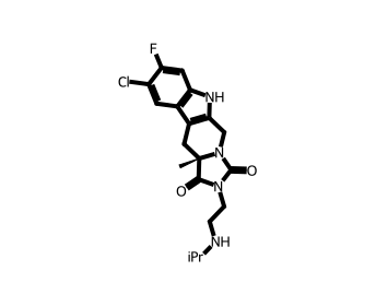 CC(C)NCCN1C(=O)N2Cc3[nH]c4cc(F)c(Cl)cc4c3C[C@@]2(C)C1=O